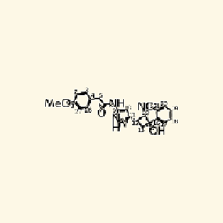 COc1ccc(CC(=O)Nc2cc([C@H]3C[C@@](O)(c4ccccc4C#N)C3)n[nH]2)cc1